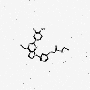 CCNC(=O)COc1cccc(N2CCc3c(CC)nc(-c4ccc(OC)c(F)c4)nc32)c1